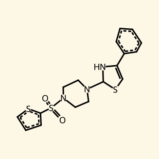 O=S(=O)(c1cccs1)N1CCN(C2NC(c3ccccc3)=CS2)CC1